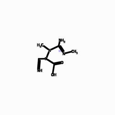 C/N=C(\N)N(C)N(C=N)C(=O)O